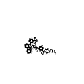 CN1CCN(C(=O)c2cccc(OCCCN(Cc3cccc(C(F)(F)F)c3Cl)C(C)(c3ccccc3)c3ccccc3)c2)CC1